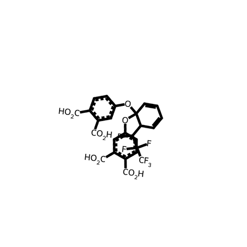 O=C(O)c1ccc(OC2(Oc3ccc(C(=O)O)c(C(=O)O)c3)C=CC=CC2C(F)C(F)(F)C(F)(F)F)cc1C(=O)O